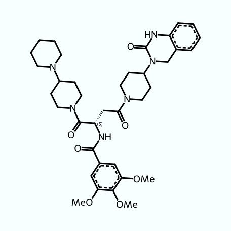 COc1cc(C(=O)N[C@@H](CC(=O)N2CCC(N3Cc4ccccc4NC3=O)CC2)C(=O)N2CCC(N3CCCCC3)CC2)cc(OC)c1OC